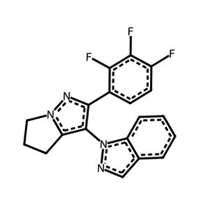 Fc1ccc(-c2nn3c(c2-n2ncc4ccccc42)CCC3)c(F)c1F